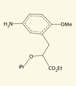 CCOC(=O)C(Cc1cc(N)ccc1OC)OC(C)C